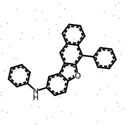 c1ccc(Nc2ccc3oc4c(-c5ccccc5)c5ccccc5cc4c3c2)cc1